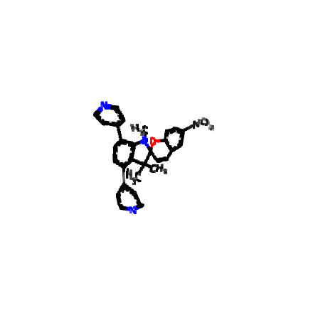 CN1c2c(-c3ccncc3)ccc(-c3ccncc3)c2C(C)(C)C12C=Cc1cc([N+](=O)[O-])ccc1O2